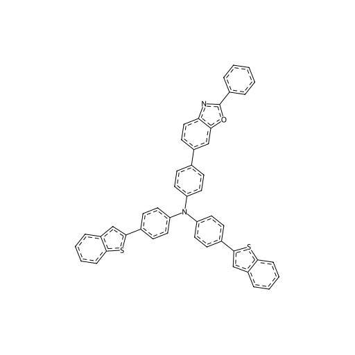 c1ccc(-c2nc3ccc(-c4ccc(N(c5ccc(-c6cc7ccccc7s6)cc5)c5ccc(-c6cc7ccccc7s6)cc5)cc4)cc3o2)cc1